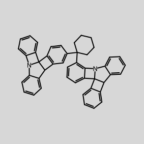 c1ccc2c(c1)C1c3cc(C4(c5cccc6c5N5c7ccccc7C7c8ccccc8C675)CCCCC4)ccc3C13c1ccccc1N23